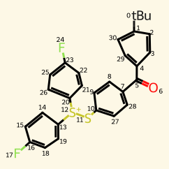 CC(C)(C)c1ccc(C(=O)c2ccc(S[S+](c3ccc(F)cc3)c3ccc(F)cc3)cc2)cc1